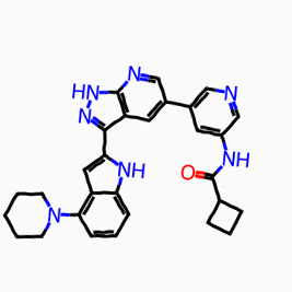 O=C(Nc1cncc(-c2cnc3[nH]nc(-c4cc5c(N6CCCCC6)cccc5[nH]4)c3c2)c1)C1CCC1